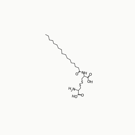 CCCCCCCCCCCCCCCCC(=O)NC(CSSCC(N)C(=O)O)C(=O)O